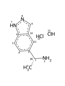 C[C@@H](N)c1ccc2[nH]ncc2c1.Cl.Cl